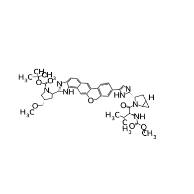 COC[C@H]1CC(c2nc3ccc4cc5c(cc4c3[nH]2)OCc2cc(-c3cnc([C@@H]4C[C@H]6CC6N4C(=O)[C@@H](NC(=O)OC)C(C)C)[nH]3)ccc2-5)N(C(=O)OC(C)(C)C)C1